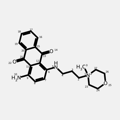 C[N+]1(CCCNc2ccc(N)c3c2C(=O)c2ccccc2C3=O)CCOCC1